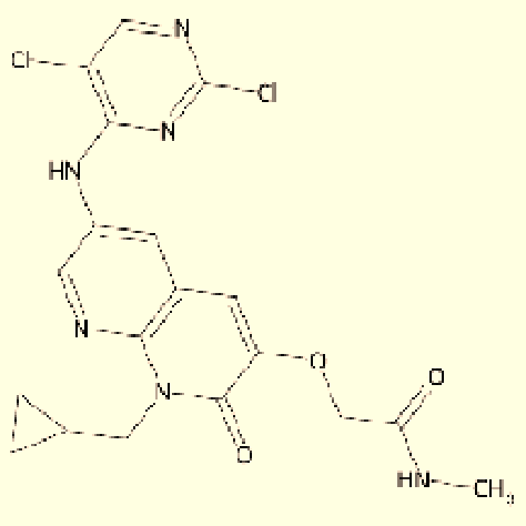 CNC(=O)COc1cc2cc(Nc3nc(Cl)ncc3Cl)cnc2n(CC2CC2)c1=O